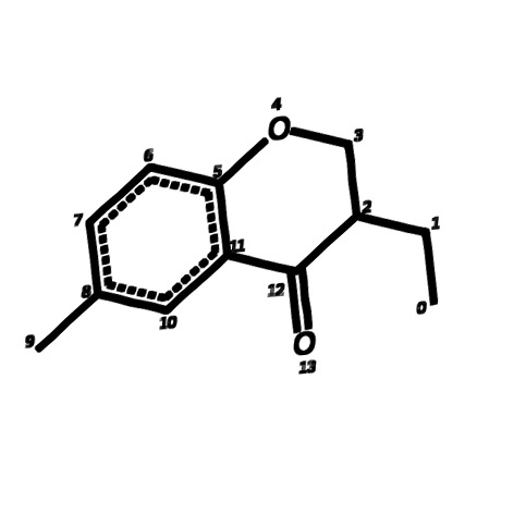 CCC1COc2ccc(C)cc2C1=O